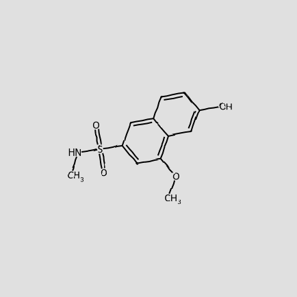 CNS(=O)(=O)c1cc(OC)c2cc(O)ccc2c1